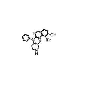 CC(C)c1c(O)ccc2cnc(N(c3ccccc3)N3CCNCC3F)nc12